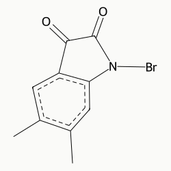 Cc1cc2c(cc1C)N(Br)C(=O)C2=O